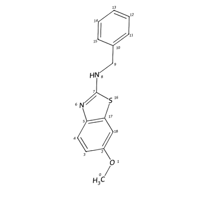 COc1ccc2nc(NCc3ccccc3)sc2c1